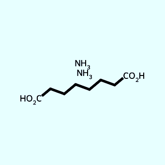 N.N.O=C(O)CCCCCCC(=O)O